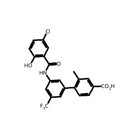 Cc1cc(C(=O)O)ccc1-c1cc(NC(=O)c2cc(Cl)ccc2O)cc(C(F)(F)F)c1